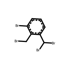 BrCc1c(Br)cccc1C(Br)Br